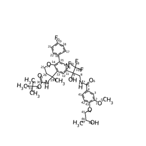 COc1cc(C(=O)NCC(O)(c2cc3c(c(-c4ccc(F)cc4)n2)OCCC3(C)NC(=O)OC(C)(C)C)C(F)(F)F)ccc1OC[C@@H](C)O